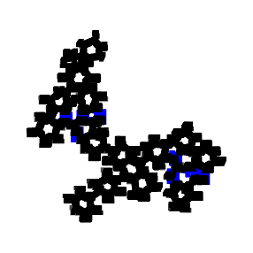 CC1(C)c2ccccc2-c2ccc(-c3ccc4c5ccccc5n(-c5nc6ccc(-c7ccc8c(-c9ccc%10c%11ccccc%11n(-c%11nc%12ccccc%12c%12nc%13ccccc%13n%11%12)c%10c9)c9ccccc9c(-c9ccc(-c%10ccccc%10)cc9)c8c7)cc6c6nc7ccccc7n56)c4c3)cc21